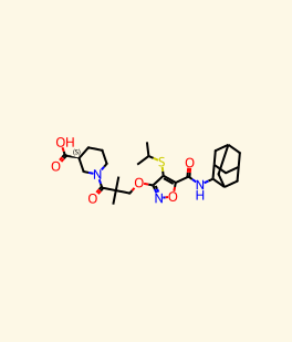 CC(C)Sc1c(OCC(C)(C)C(=O)N2CCC[C@H](C(=O)O)C2)noc1C(=O)NC1C2CC3CC(C2)CC1C3